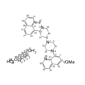 COc1cc(N2CCN(C3CCN(F)C(c4cccc5cccnc45)C3)CC2)c2ncccc2c1.Cl.O.O.O.O.O.O